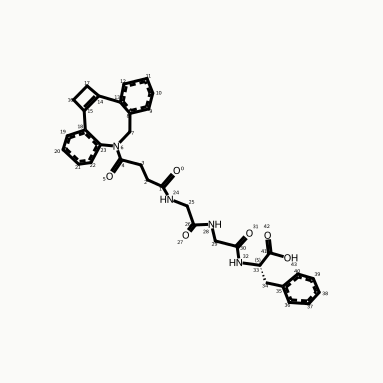 O=C(CCC(=O)N1Cc2ccccc2C2=C(CC2)c2ccccc21)NCC(=O)NCC(=O)N[C@@H](Cc1ccccc1)C(=O)O